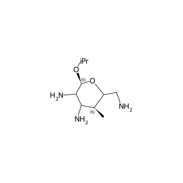 CC(C)O[C@H]1OC(CN)[C@@H](C)C(N)C1N